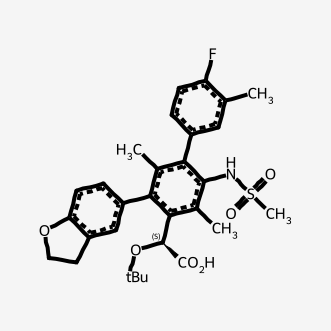 Cc1cc(-c2c(C)c(-c3ccc4c(c3)CCO4)c([C@H](OC(C)(C)C)C(=O)O)c(C)c2NS(C)(=O)=O)ccc1F